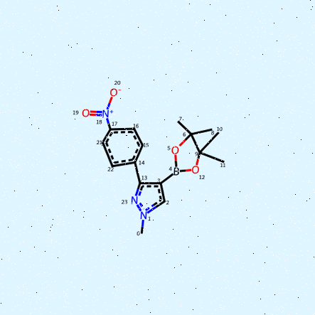 Cn1cc(B2OC(C)(C)C(C)(C)O2)c(-c2ccc([N+](=O)[O-])cc2)n1